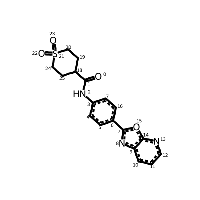 O=C(Nc1ccc(-c2nc3cccnc3o2)cc1)C1CCS(=O)(=O)CC1